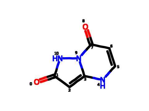 O=c1cc2[nH]ccc(=O)n2[nH]1